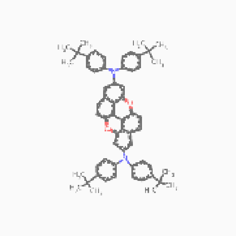 CC(C)(C)c1ccc(N(c2ccc(C(C)(C)C)cc2)c2cc3ccc4oc5cc(N(c6ccc(C(C)(C)C)cc6)c6ccc(C(C)(C)C)cc6)cc6ccc7oc(c2)c3c4-c7c65)cc1